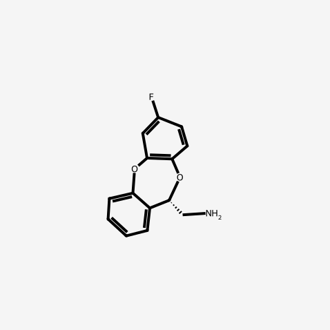 NC[C@H]1Oc2ccc(F)cc2Oc2ccccc21